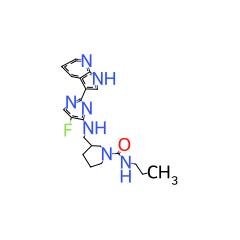 CCCNC(=O)N1CCCC(CNc2nc(-c3c[nH]c4ncccc34)ncc2F)C1